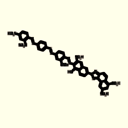 COc1cc(N=Nc2ccc(N=Nc3ccc(S(=O)(=O)O)cc3S(=O)(=O)O)cc2)ccc1N=Nc1c(S(=O)(=O)O)cc2cc(-n3nc4ccc5c(S(=O)(=O)O)cc(S(=O)(=O)O)cc5c4n3)ccc2c1O